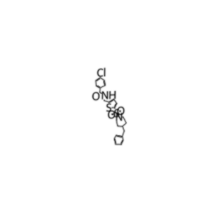 O=C(NCc1ccc(S(=O)(=O)N2CCC(Cc3ccccc3)CC2)s1)c1ccc(Cl)cc1